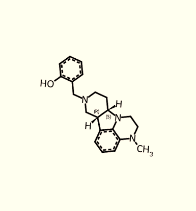 CN1CCN2c3c(cccc31)[C@@H]1CN(Cc3ccccc3O)CC[C@@H]12